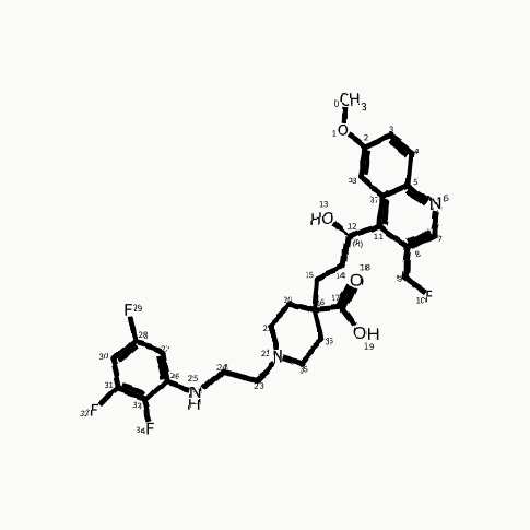 COc1ccc2ncc(CF)c([C@H](O)CCC3(C(=O)O)CCN(CCNc4cc(F)cc(F)c4F)CC3)c2c1